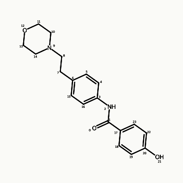 O=C(Nc1ccc(CCN2CCOCC2)cc1)c1ccc(O)cc1